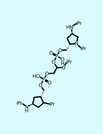 CC(C)N[C@@H]1CC(C(C)C)[C@@H](COP(=O)(O)OCC(OC(C)C)OP(=O)(O)OC[C@@H]2C[C@@H](NC(C)C)CN2C(C)C)C1